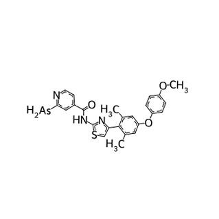 COc1ccc(Oc2cc(C)c(-c3csc(NC(=O)c4ccnc([AsH2])c4)n3)c(C)c2)cc1